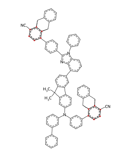 CC1(C)c2ccc(-c3cccc4c3nc(-c3ccc(-c5ccc(C#N)c6c5C5c7ccccc7C6c6ccccc65)cc3)n4-c3ccccc3)cc2-c2ccc(N(c3cccc(-c4ccccc4)c3)c3cccc(-c4ccc(C#N)c5c4C4c6ccccc6C5c5ccccc54)c3)cc21